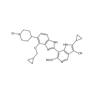 CCN1CCC(c2ccc3[nH]c(-c4c(OC)ncc5c(C#N)c(C6CC6)[nH]c45)nc3c2OCC2CC2)CC1